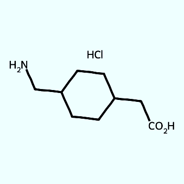 Cl.NCC1CCC(CC(=O)O)CC1